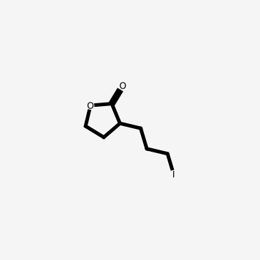 O=C1OCCC1CCCI